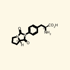 N[C@@H](Cc1ccc(N2C(=O)[C@@H]3CCCN3C2=O)cc1)C(=O)O